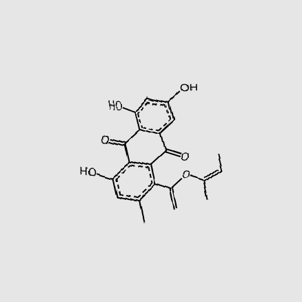 C=C(O/C(C)=C\C)c1c(C)cc(O)c2c1C(=O)c1cc(O)cc(O)c1C2=O